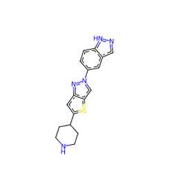 c1cc2[nH]ncc2cc1-n1cc2sc(C3CCNCC3)cc2n1